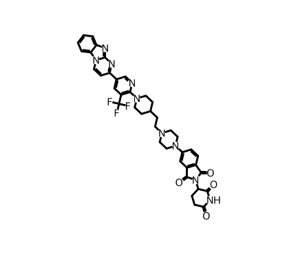 O=C1CCC(N2C(=O)c3ccc(N4CCN(CCC5CCN(c6ncc(-c7ccn8c(n7)nc7ccccc78)cc6C(F)(F)F)CC5)CC4)cc3C2=O)C(=O)N1